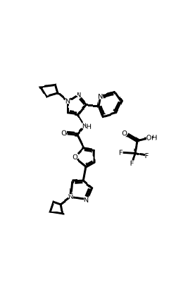 O=C(Nc1cn(C2CCC2)nc1-c1ccccn1)c1ccc(-c2cnn(C3CCC3)c2)o1.O=C(O)C(F)(F)F